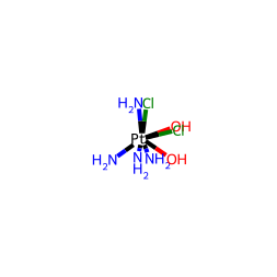 [NH2][Pt]([NH2])([NH2])([NH2])([OH])([OH])([Cl])[Cl]